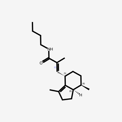 CCCCNC(=O)/C(C)=C/[C@@H]1CC[C@@H](C)[C@H]2CCC(C)=C12